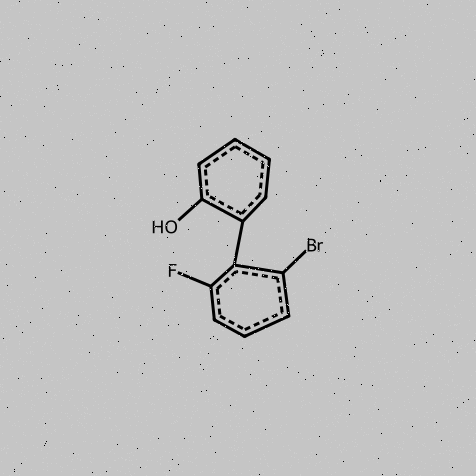 Oc1ccccc1-c1c(F)cccc1Br